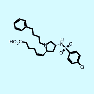 O=C(O)CCC/C=C\[C@@H]1C[C@@H](NS(=O)(=O)c2ccc(Cl)cc2)CN1CCCCc1ccccc1